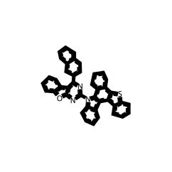 c1ccc2cc(-c3nc(-n4c5ccccc5c5c6c7ccccc7sc6c6ccccc6c54)nc4oc5ccccc5c34)ccc2c1